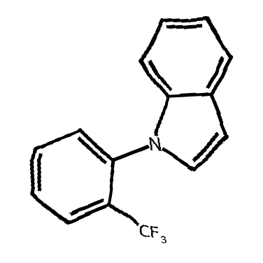 FC(F)(F)c1ccccc1-n1ccc2ccccc21